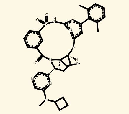 Cc1cccc(C)c1-c1cc2nc(n1)NS(=O)(=O)c1cccc(c1)C(=O)N1[C@@H](c3cncc(N(C)C4CCC4)n3)CC[C@H](O2)[C@H]1CC(C)C